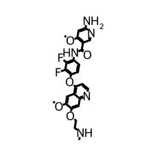 CNCCOc1cc2nccc(Oc3ccc(NC(=O)c4cnc(N)cc4OC)c(F)c3F)c2cc1OC